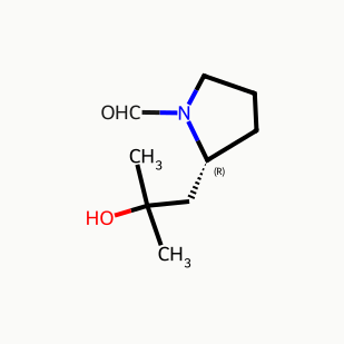 CC(C)(O)C[C@H]1CCCN1C=O